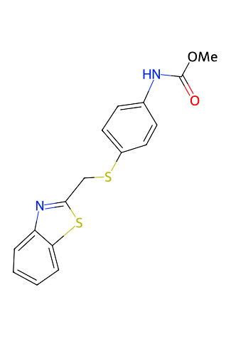 COC(=O)Nc1ccc(SCc2nc3ccccc3s2)cc1